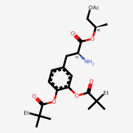 CCC(C)(C)C(=O)Oc1ccc(C[C@H](N)C(=O)O[C@H](C)COC(C)=O)cc1OC(=O)C(C)(C)CC